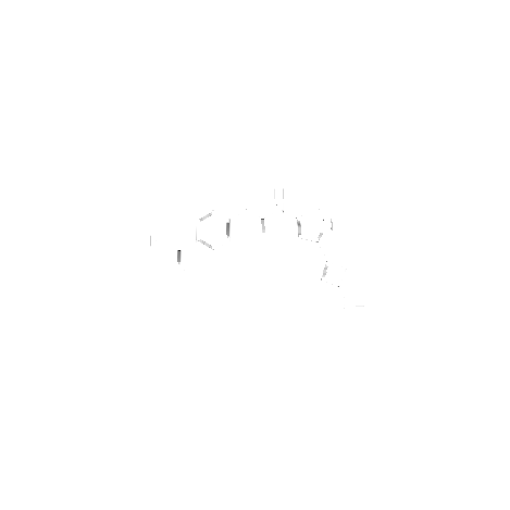 CC1C=C(c2cc(NC(=O)Cc3ccc(C(=O)O)cc3)on2)C1